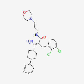 N/C(=C(/CC1=C(Cl)C(Cl)=CCC1)C(=O)NCCCN1CCOCC1)[C@H]1CC[C@H](C2C=CC=CC2)CC1